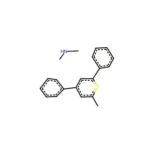 CNC.Cc1cc(-c2ccccc2)cc(-c2ccccc2)[s+]1